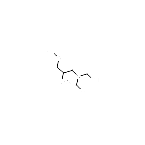 CCCOCC(CN(CO)CO)OC